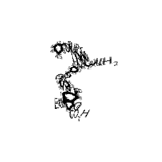 CCn1cc(C(=O)O)c(=O)c2cc(F)c(N3CCN(C(=O)OCc4ccc(NC[C@@H](CCCCN)n5cc([C@@H](NC(=O)OCc6ccccc6)C(C)C)nn5)cc4)CC3)cc21